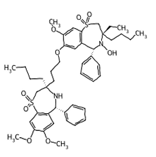 CCCC[C@@]1(CCCOc2cc3c(cc2OC)S(=O)(=O)C[C@](CC)(CCCC)N(O)[C@@H]3c2ccccc2)CS(=O)(=O)c2cc(OC)c(OC)cc2[C@@H](c2ccccc2)N1